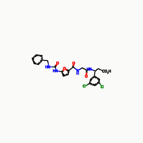 O=C(O)CC(NC(=O)CNC(=O)c1ccc(NC(=O)NCc2ccccc2)o1)c1cc(Cl)cc(Cl)c1